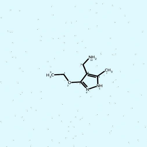 CCOc1n[nH]c(C)c1CN